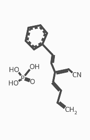 C=CC=CC(C=Cc1ccccc1)=CC#N.O=P(O)(O)O